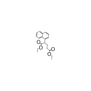 CCOC(=O)CCC(C(=O)OCC)c1cccc2ccccc12